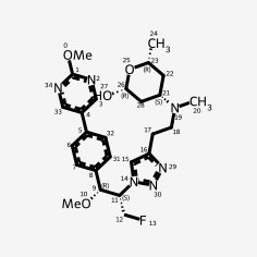 COc1ncc(-c2ccc([C@@H](OC)[C@@H](CF)n3cc(CCN(C)[C@H]4C[C@@H](C)O[C@@H](O)C4)nn3)cc2)cn1